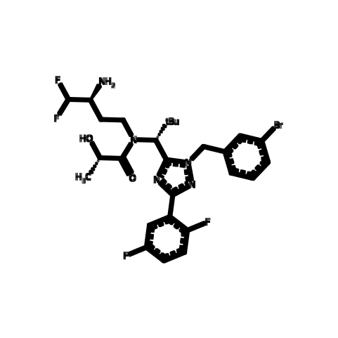 C[C@H](O)C(=O)N(CC[C@H](N)C(F)F)[C@@H](c1nc(-c2cc(F)ccc2F)nn1Cc1cccc(Br)c1)C(C)(C)C